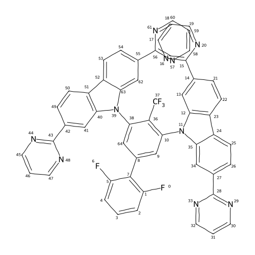 Fc1cccc(F)c1-c1cc(-n2c3cc(-c4ncccn4)ccc3c3ccc(-c4ncccn4)cc32)c(C(F)(F)F)c(-n2c3cc(-c4ncccn4)ccc3c3ccc(-c4ncccn4)cc32)c1